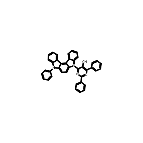 N#Cc1c(-c2ccccc2)nc(-c2ccccc2)nc1-n1c2ccccc2c2c3c4ccccc4n(-c4ccccc4)c3ccc21